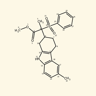 COC(=O)C(C)(C1CCc2c([nH]c3ccc(C)cc23)C1)S(=O)(=O)c1ccccc1